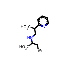 CC(C)CC(NCC(C(=O)O)c1ccccn1)C(=O)O